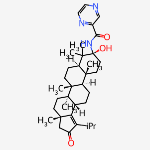 CC(C)C1=C2[C@H]3CC[C@@H]4[C@@]5(C)CC[C@@](O)(NC(=O)c6cnccn6)C(C)(C)[C@@H]5CC[C@@]4(C)[C@]3(C)CC[C@@]2(C)CC1=O